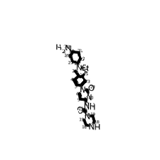 CCN(Cc1ccc(-n2ccc(NC(=O)N3CCNCC3)nc2=O)cc1F)C1CCC(N)CC1